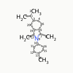 C=C(C)c1ccc2c(=C)n(-c3ccc(C)cc3)c(=C)c2c1